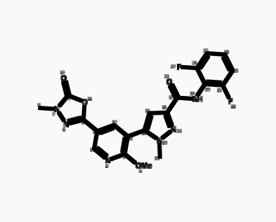 COc1ncc(-c2nn(C)c(=O)o2)cc1-c1cc(C(=O)Nc2c(F)cccc2F)nn1C